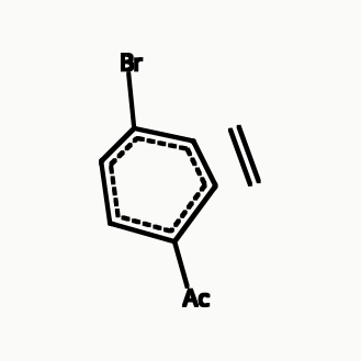 C=C.CC(=O)c1ccc(Br)cc1